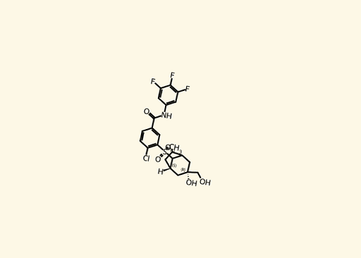 C[C@H]1C[C@H]2C[C@](O)(CO)CC1C2S(=O)(=O)c1cc(C(=O)Nc2cc(F)c(F)c(F)c2)ccc1Cl